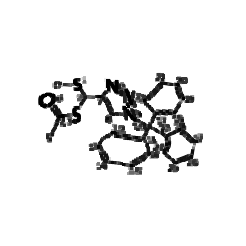 CSC(SC(C)=O)c1cn(C(c2ccccc2)(c2ccccc2)c2ccccc2)nn1